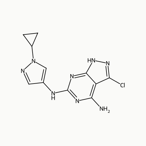 Nc1nc(Nc2cnn(C3CC3)c2)nc2[nH]nc(Cl)c12